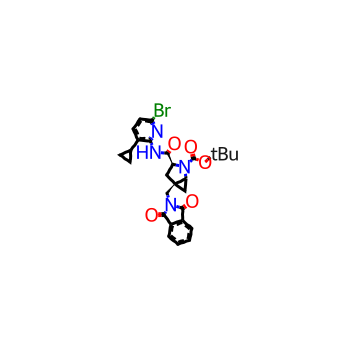 CC(C)(C)OC(=O)N1C2C[C@]2(CN2C(=O)c3ccccc3C2=O)C[C@H]1C(=O)Nc1nc(Br)ccc1C1CC1